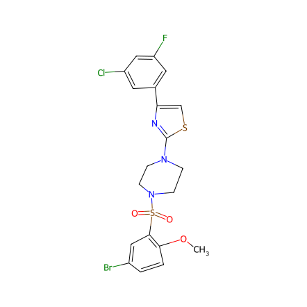 COc1ccc(Br)cc1S(=O)(=O)N1CCN(c2nc(-c3cc(F)cc(Cl)c3)cs2)CC1